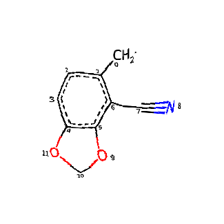 [CH2]c1ccc2c(c1C#N)OCO2